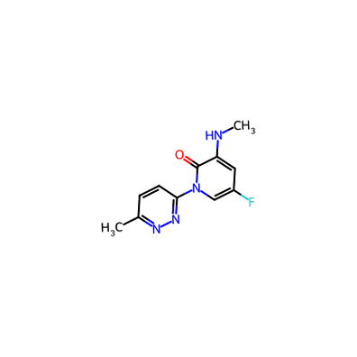 CNc1cc(F)cn(-c2ccc(C)nn2)c1=O